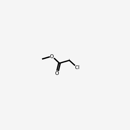 COC(=O)[CH]Cl